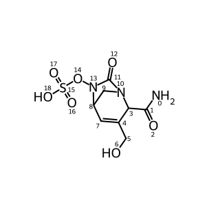 NC(=O)C1C(CO)=CC2CN1C(=O)N2OS(=O)(=O)O